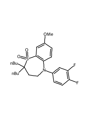 CCCCC1(CCCC)CCN(c2ccc(F)c(F)c2)c2ccc(OC)cc2S1(=O)=O